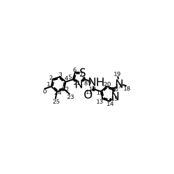 Cc1ccc(-c2csc(NC(=O)c3ccnc(N(C)C)c3)n2)c(C)c1C